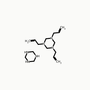 C1NCNCN1.C=CCN1CN(CC=C)CN(CC=C)C1